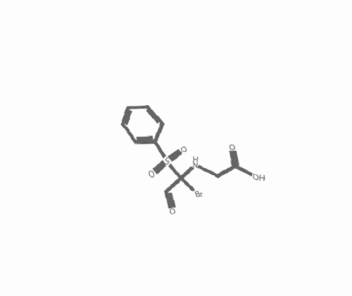 O=CC(Br)(NCC(=O)O)S(=O)(=O)c1ccccc1